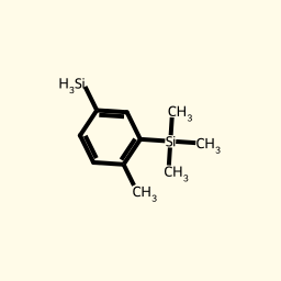 Cc1ccc([SiH3])cc1[Si](C)(C)C